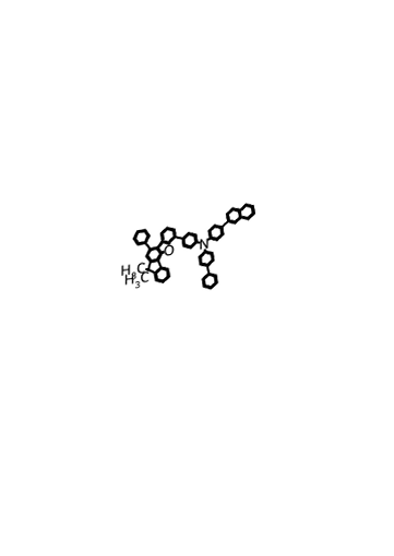 CC1(C)c2ccccc2-c2c1cc(-c1ccccc1)c1c2oc2c(-c3ccc(N(c4ccc(-c5ccccc5)cc4)c4ccc(-c5ccc6ccccc6c5)cc4)cc3)cccc21